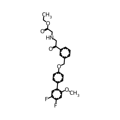 CCOC(=O)CNCC(=O)c1cccc(COc2ccc(-c3cc(F)c(F)cc3OC)cc2)c1